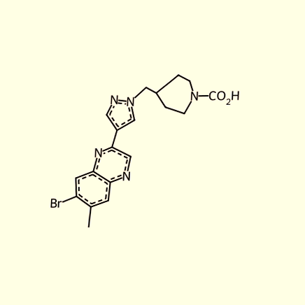 Cc1cc2ncc(-c3cnn(CC4CCN(C(=O)O)CC4)c3)nc2cc1Br